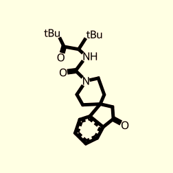 CC(C)(C)C(=O)C(NC(=O)N1CCC2(CC1)CC(=O)c1ccccc12)C(C)(C)C